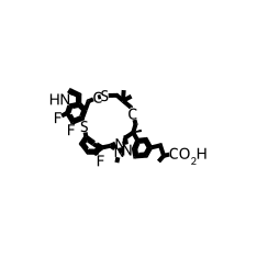 CC(Cc1cccc([C@@]2(C)CCCC(C)(C)CSCCc3c(c(F)c(F)c4[nH]ccc34)Sc3ccc(F)c(c3)-c3nc2nn3C)c1)C(=O)O